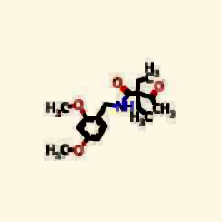 CCC(CC)(C(C)=O)C(=O)NCc1ccc(OC)cc1OC